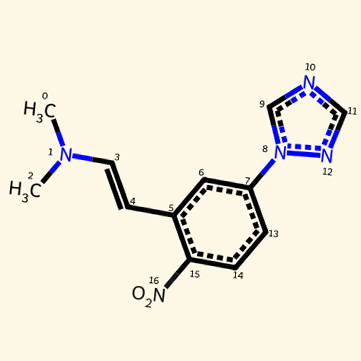 CN(C)/C=C/c1cc(-n2cncn2)ccc1[N+](=O)[O-]